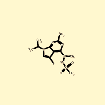 CC(C)n1cc(F)c2c(N(C)NS(C)(=O)=O)nc(N)nc21